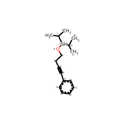 CC(C)[SiH](OCCC#Cc1ccccc1)C(C)C